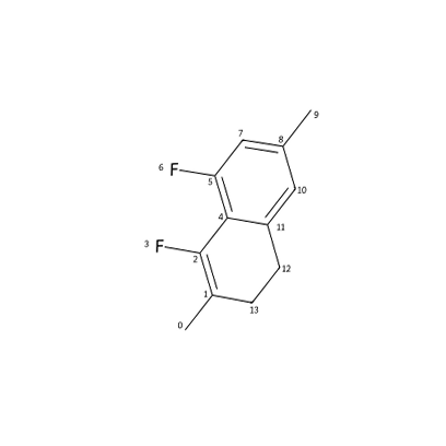 CC1=C(F)c2c(F)cc(C)cc2CC1